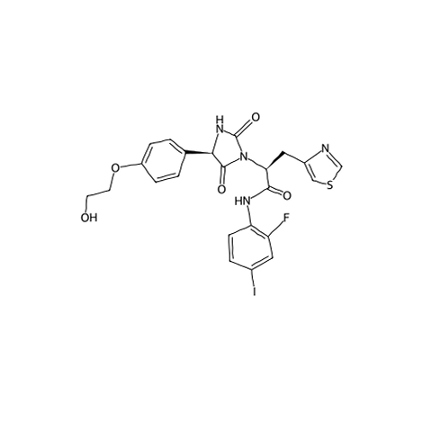 O=C(Nc1ccc(I)cc1F)[C@H](Cc1cscn1)N1C(=O)N[C@H](c2ccc(OCCO)cc2)C1=O